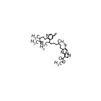 COC(=O)c1cnn2cc(F)c(CCC(C)CCCC(C)c3cc(F)cnc3CCC(C)C(C)C)nc12